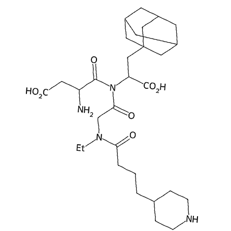 CCN(CC(=O)N(C(=O)C(N)CC(=O)O)C(CC12CC3CC(CC(C3)C1)C2)C(=O)O)C(=O)CCCC1CCNCC1